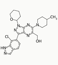 CC1CCN(c2nc3c(nc2CO)c(-c2ccc4cn[nH]c4c2Cl)nn3C2CCCCO2)CC1